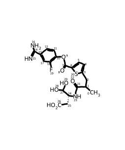 CC(Cc1ccc(C(=O)Oc2ccc(C(=N)N)cc2F)s1)C(=O)N[C@H](CC(=O)O)C(O)O